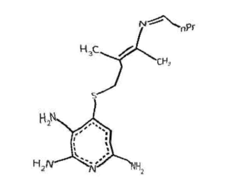 CCC/C=N\C(C)=C(/C)CSc1cc(N)nc(N)c1N